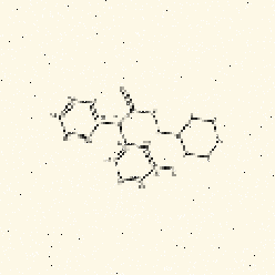 C=C(CCC1CCCCC1)N(c1ccccc1)c1cccc(C)c1